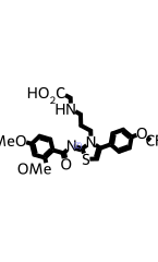 COc1ccc(C(=O)/N=c2\scc(-c3ccc(OC(F)(F)F)cc3)n2CCCNCC(=O)O)c(OC)c1